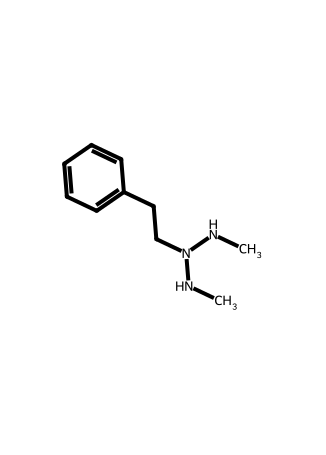 CNN(CCc1ccccc1)NC